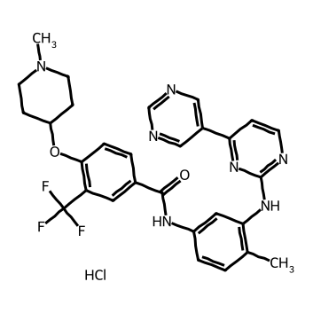 Cc1ccc(NC(=O)c2ccc(OC3CCN(C)CC3)c(C(F)(F)F)c2)cc1Nc1nccc(-c2cncnc2)n1.Cl